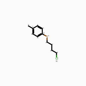 Cc1ccc(SCCCCCl)cc1